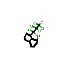 [O]c1cccc2cccc(C(Cl)(Cl)C(Cl)(Cl)C(Cl)(Cl)Cl)c12